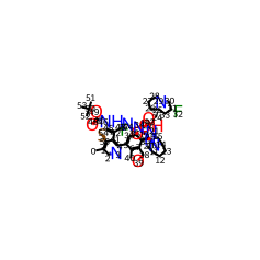 Cc1cnc(-c2c3c(c4c(N5C6CCC5CN(C(=O)O)C6)nc(OC[C@@]56CCCN5C[C@H](F)C6)nc4c2F)COC3)c2c(C#N)c(NC(=O)OC(C)(C)C)sc12